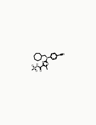 Cc1sc(N(CC2CCCCCC2)c2ccc(C#N)cc2)nc1C(=O)NS(C)(=O)=O